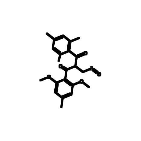 COc1cc(C)cc(OC)c1C(=O)C(CP=O)C(=O)c1c(C)cc(C)cc1C